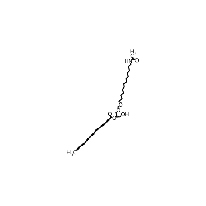 CC#CC#CC#CC#CC#CC#CC#CC(=O)O[C@H](CO)COCOCCCCCCCCCCCCCCNC(C)=O